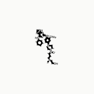 COc1cc(N2CCN([S+]([O-])CCCN(C)CCO)CC2)ccc1Nc1nc(NC2CCCCC2)c2nc[nH]c2n1